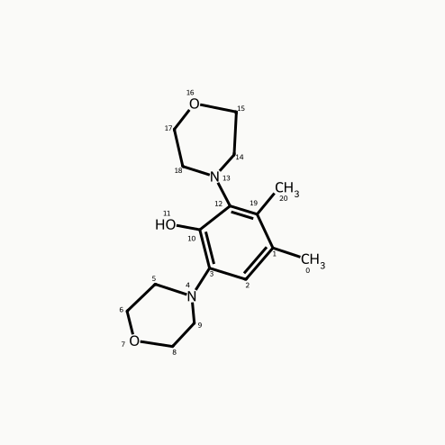 Cc1cc(N2CCOCC2)c(O)c(N2CCOCC2)c1C